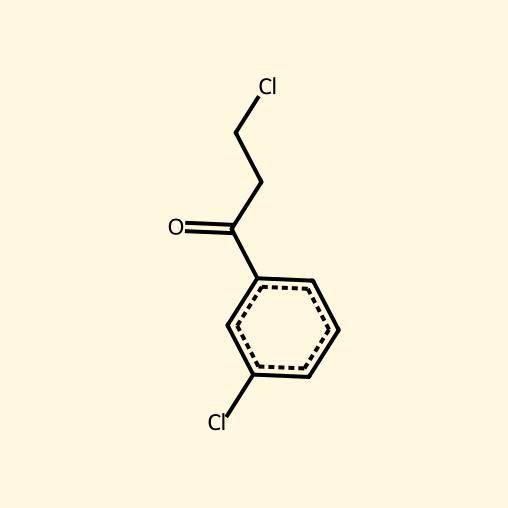 O=C(CCCl)c1cccc(Cl)c1